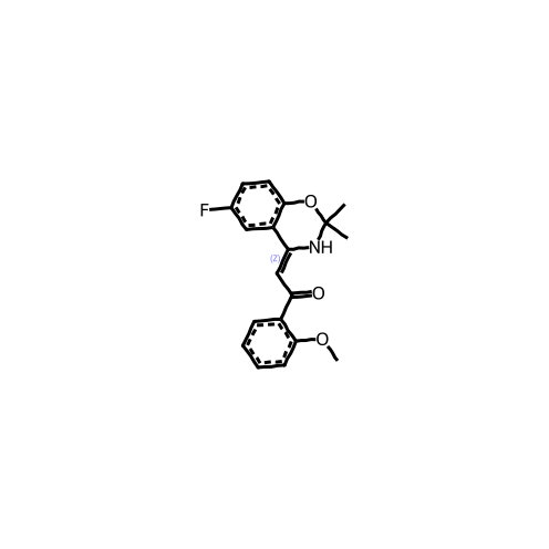 COc1ccccc1C(=O)/C=C1\NC(C)(C)Oc2ccc(F)cc21